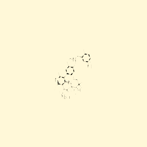 Cc1ccc(Cl)cc1CN1CCc2cc(-c3c(C)nc(C)c([C@H](OC(C)(C)C)C(=O)O)c3N3CCC(C)(C)CC3)ccc2C1